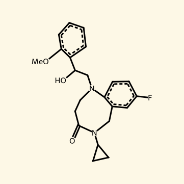 COc1ccccc1C(O)CN1CCC(=O)N(C2CC2)Cc2cc(F)ccc21